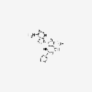 Nc1ncnc2c1ncn2[C@@H]1O[C@H](CO)C(O)[C@@H]1NC(=O)c1ccccc1